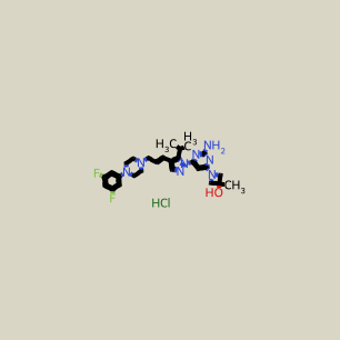 CC(C)c1c(/C=C/CN2CCN(c3cc(F)cc(F)c3)CC2)cnn1-c1cc(N2CC(C)(O)C2)nc(N)n1.Cl